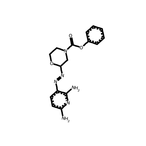 Nc1ccc(N=NC2CN(C(=O)Oc3ccccc3)CCO2)c(N)n1